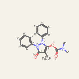 CCCCc1c(OC(=O)N(C)C)n(-c2ccccc2)n(-c2ccccc2)c1=O